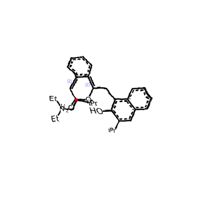 C=C(/C=c1/cccc/c1=C(\Cc1c(O)c(C(C)C)cc2ccccc12)OCCN(CC)CC)C(C)C